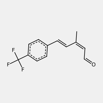 CC(=C/C=O)/C=C/c1ccc(C(F)(F)F)cc1